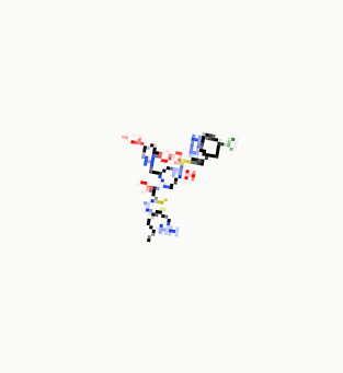 CC1Cc2nc(C(=O)N3CCN(S(=O)(=O)c4cc5cc(Cl)ccc5[nH]4)CC3CN3CC(O)CC3=O)sc2CN1